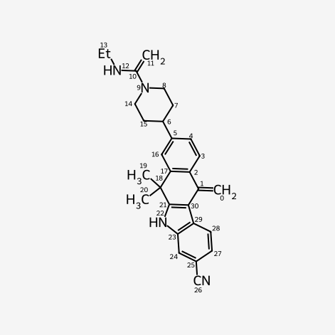 C=C1c2ccc(C3CCN(C(=C)NCC)CC3)cc2C(C)(C)c2[nH]c3cc(C#N)ccc3c21